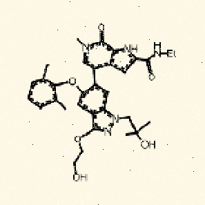 CCNC(=O)c1cc2c(-c3cc4c(cc3Oc3c(C)cccc3C)c(OCCO)nn4CC(C)(C)O)cn(C)c(=O)c2[nH]1